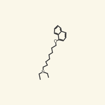 CCN(CC)CCCCCCCCOc1cccc2ccccc12